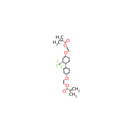 C=C(C)C(=O)O/C=C\Oc1ccc(-c2ccc(O/C=C\OC(=O)C(=C)C)cc2C(F)(F)F)cc1